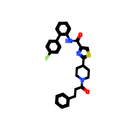 O=C(Nc1ccccc1-c1ccc(F)cc1)c1csc(C2CCN(C(=O)CCc3ccccc3)CC2)n1